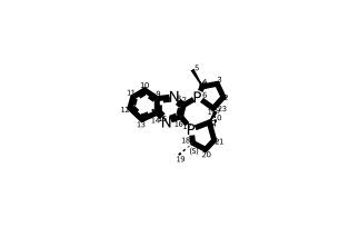 C[C@H]1CC[C@H](C)P1c1nc2ccccc2nc1P1[C@@H](C)CC[C@@H]1C